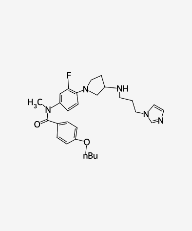 CCCCOc1ccc(C(=O)N(C)c2ccc(N3CCC(NCCCn4ccnc4)C3)c(F)c2)cc1